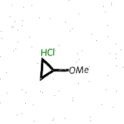 COC1CC1.Cl